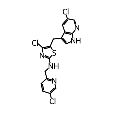 Clc1ccc(CNc2nc(Cl)c(Cc3c[nH]c4ncc(Cl)cc34)s2)nc1